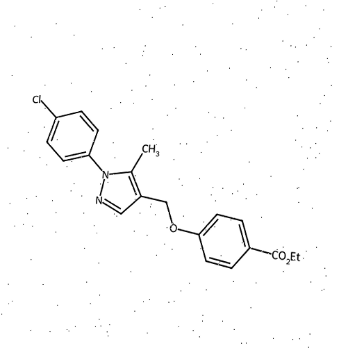 CCOC(=O)c1ccc(OCc2cnn(-c3ccc(Cl)cc3)c2C)cc1